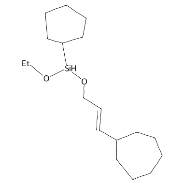 CCO[SiH](OCC=CC1CCCCCC1)C1CCCCC1